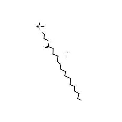 CCCCCCCCCCCCCCCC(=O)NCCOP(=O)([O-])[O-].[Na+].[Na+]